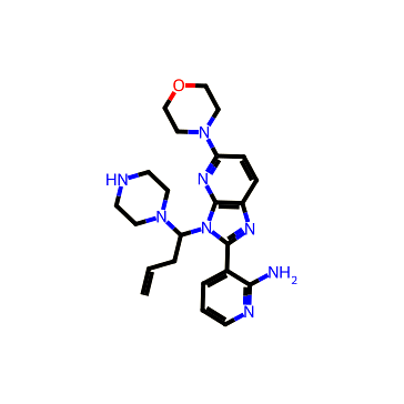 C=CCC(N1CCNCC1)n1c(-c2cccnc2N)nc2ccc(N3CCOCC3)nc21